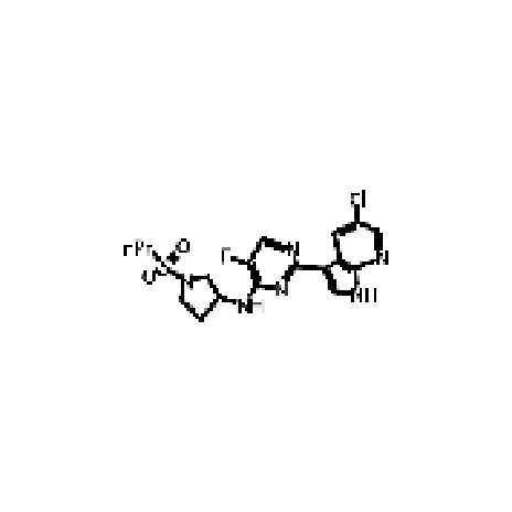 CCCS(=O)(=O)N1CCC(Nc2nc(-c3c[nH]c4ncc(Cl)cc34)ncc2F)C1